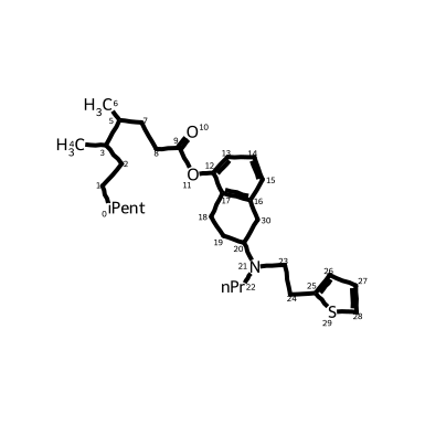 CCCC(C)CCC(C)C(C)CCC(=O)Oc1cccc2c1CCC(N(CCC)CCc1cccs1)C2